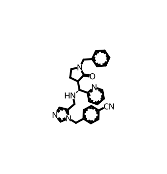 N#Cc1ccc(Cn2cncc2CN[C@@H](c2ccccn2)C2CCN(Cc3ccccc3)C2=O)cc1